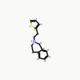 c1csc(CCN2CCc3ccccc3C2)c1